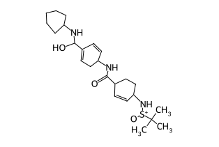 CC(C)(C)[S+]([O-])NC1C=CC(C(=O)NC2C=CC(C(O)NC3CCCCC3)=CC2)CC1